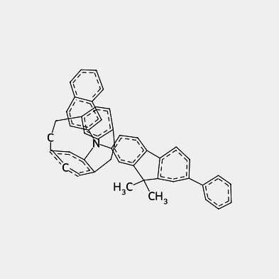 CC1(C)c2cc(-c3ccccc3)ccc2-c2ccc(N(c3ccc4ccccc4c3)c3cc4ccc3CCc3ccc(cc3)CC4)cc21